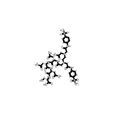 NS(=O)(=O)c1ccc(NC(=O)CN(CCN(CC(=O)Nc2ccc(S(N)(=O)=O)cc2)CC(=O)N[C@@H](CC(=O)O)C(=O)N[C@@H](CC(=O)O)C(=O)N[C@@H](CC(=O)O)C(=O)N[C@@H](CS)C(=O)O)CC(=O)O)cc1